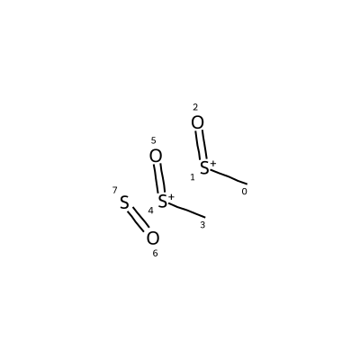 C[S+]=O.C[S+]=O.O=S